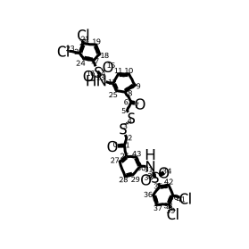 O=C(CSSCC(=O)c1cccc(NS(=O)(=O)c2ccc(Cl)c(Cl)c2)c1)c1cccc(NS(=O)(=O)c2ccc(Cl)c(Cl)c2)c1